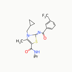 Cc1c(C(=O)NC(C)C)sc(=NC(=O)c2cccc(C(F)(F)F)c2)n1CC1CC1